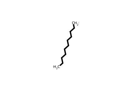 [CH2]C[CH]CCCCCCC[CH2]